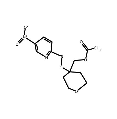 CC(=O)OCC1(SSc2ccc([N+](=O)[O-])cn2)CCOCC1